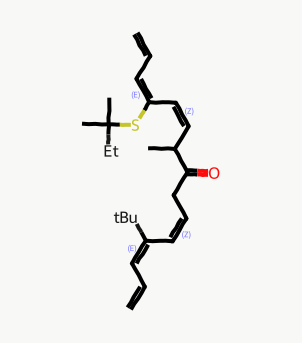 C=C/C=C(\C=C/C(C)C(=O)C/C=C\C(=C/C=C)C(C)(C)C)SC(C)(C)CC